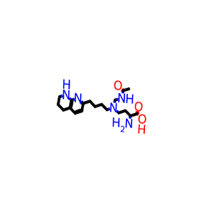 CC(=O)NCN(CCCCc1ccc2c(n1)NCCC2)CCC(N)C(=O)O